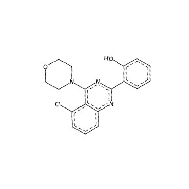 Oc1ccccc1-c1nc(N2CCOCC2)c2c(Cl)cccc2n1